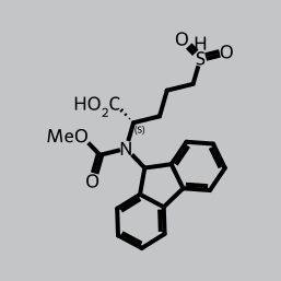 COC(=O)N(C1c2ccccc2-c2ccccc21)[C@@H](CCC[SH](=O)=O)C(=O)O